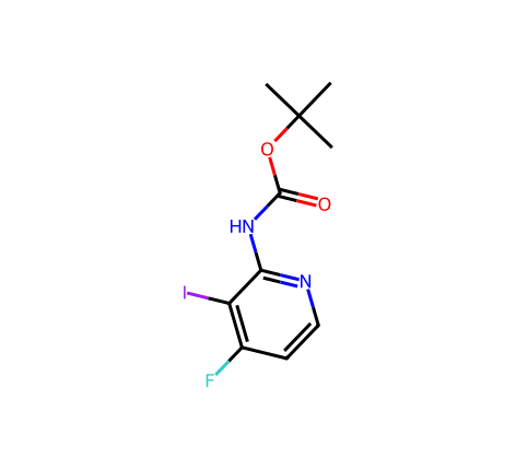 CC(C)(C)OC(=O)Nc1nccc(F)c1I